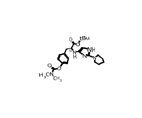 CN(C)C(=O)Oc1ccc(C[C@H](Nc2c[nH]c(N3CCCCC3)n2)C(=O)OC(C)(C)C)cc1